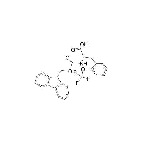 O=C(NC(Cc1ccccc1OC(F)(F)F)C(=O)O)OCC1c2ccccc2-c2ccccc21